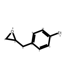 [CH2]Cc1ccc(CC2CO2)cc1